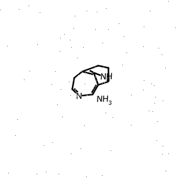 C1=NC=C2C3=C(C1)CCC2N3.N